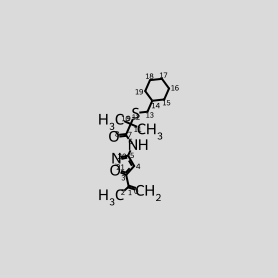 C=C(C)c1cc(NC(=O)C(C)(C)SCC2CCCCC2)no1